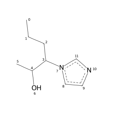 CCCC(C(C)O)n1ccnc1